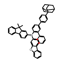 CC1(C)c2ccccc2-c2ccc(N(c3ccc4c(c3)oc3ccccc34)c3ccc(-c4ccc(C56CC7CC(CC(C7)C5)C6)cc4)cc3-c3ccccc3)cc21